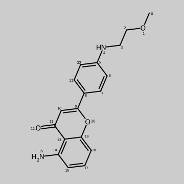 COCCNc1ccc(-c2cc(=O)c3c(N)cccc3o2)cc1